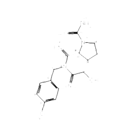 N=C(CO)N(Cc1ccc(Cl)cc1)C(=N)[C@H]1CCCN1C(N)=O